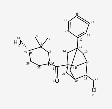 CC1(C)CN(C(=O)C23CC4CC(c5ccccc5)(CC(C2)C4CCl)C3)CC[C@@H]1N